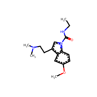 CCNC(=O)n1cc(CCN(C)C)c2cc(OC)ccc21